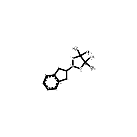 CC1(C)OB(C2Cc3ccccc3C2)OC1(C)C